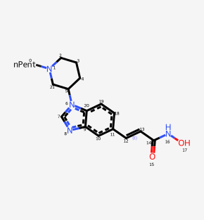 CCCCCN1CCCC(n2cnc3cc(/C=C/C(=O)NO)ccc32)C1